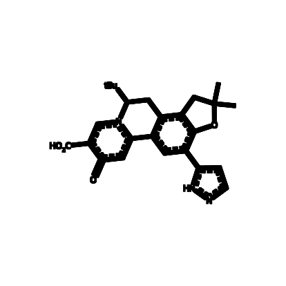 CC1(C)Cc2c3c(cc(-c4ccn[nH]4)c2O1)-c1cc(=O)c(C(=O)O)cn1C(C(C)(C)C)C3